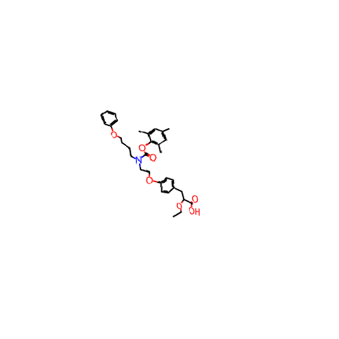 CCOC(Cc1ccc(OCCN(CCCCOc2ccccc2)C(=O)Oc2c(C)cc(C)cc2C)cc1)C(=O)O